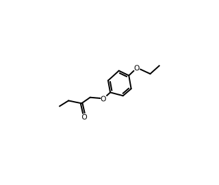 CCOc1ccc(OCC(=O)CC)cc1